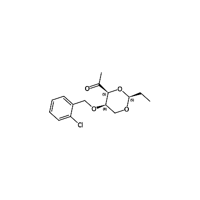 CC[C@H]1OC[C@@H](OCc2ccccc2Cl)[C@@H](C(C)=O)O1